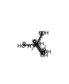 O=C(O)CCCCCCCCC(P)(CCCCCCCCC(=O)O)N(c1ccccc1)C(P)(CCCCCCCCC(=O)O)CCCCCCCCC(=O)O